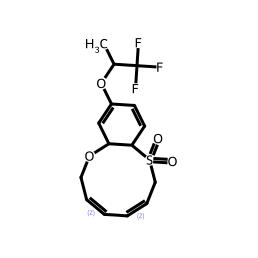 CC(OC1=CC2OC/C=C\C=C/CS(=O)(=O)C2C=C1)C(F)(F)F